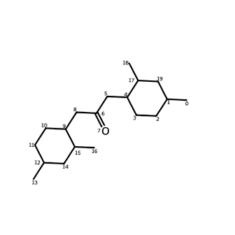 CC1CCC(CC(=O)CC2CCC(C)CC2C)C(C)C1